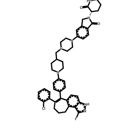 O=C1CC[C@H](N2Cc3cc(N4CCN(CC5CCN(c6ccc(C7=C(c8ccccc8Cl)CCCc8c7ccc7[nH]nc(F)c87)cc6)CC5)CC4)ccc3C2=O)C(=O)N1